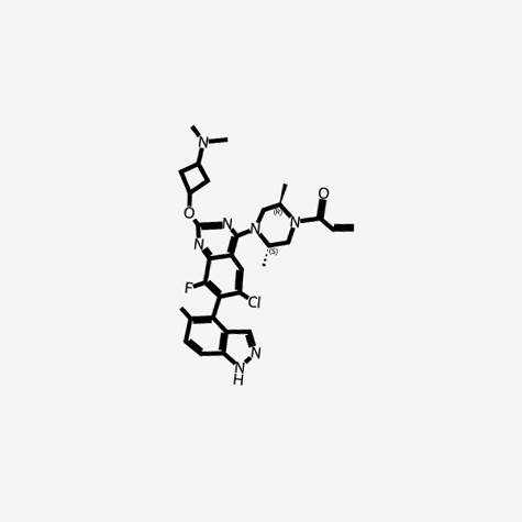 C=CC(=O)N1C[C@H](C)N(c2nc(OC3CC(N(C)C)C3)nc3c(F)c(-c4c(C)ccc5[nH]ncc45)c(Cl)cc23)C[C@H]1C